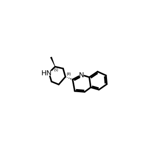 C[C@H]1C[C@H](c2ccc3ccccc3n2)CCN1